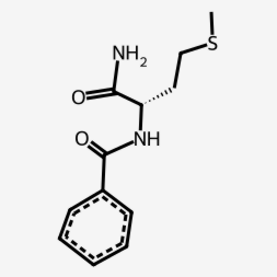 CSCC[C@H](NC(=O)c1ccccc1)C(N)=O